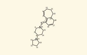 C1=CC2=C(SN3CCC(N4CCCC4)CC3)C=CCC2CCC1